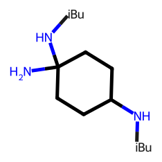 CCC(C)NC1CCC(N)(NC(C)CC)CC1